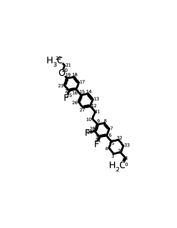 C=CC1CCC(c2ccc(CCc3ccc(-c4ccc(OCC)cc4F)cc3)c(F)c2F)CC1